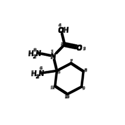 NN(C(=O)O)C1(N)CCCCC1